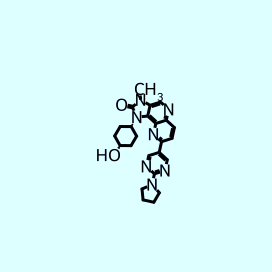 Cn1c(=O)n([C@H]2CC[C@H](O)CC2)c2c3nc(-c4cnc(N5CCCC5)nc4)ccc3ncc21